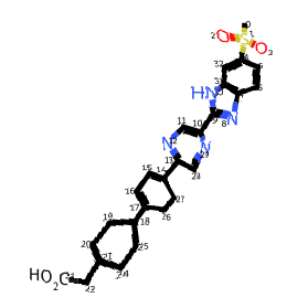 CS(=O)(=O)c1ccc2nc(-c3cnc(C4=CC=C(C5CCC(CC(=O)O)CC5)CC4)cn3)[nH]c2c1